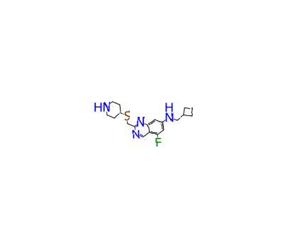 Fc1cc(NCC2CCC2)cc2nc(CSC3CCNCC3)ncc12